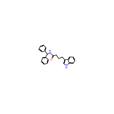 O=C(CCCc1c[nH]c2ccccc12)NC(c1ccccc1)c1ccccc1